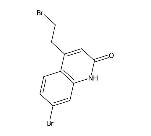 O=c1cc(CCBr)c2ccc(Br)cc2[nH]1